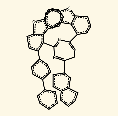 C1=C(c2cccc3sc4ccccc4c23)N=C(c2c(-c3ccc(-c4ccccc4)cc3)ccc3oc4ccccc4c23)N=C(c2ccc3ccccc3c2)C1